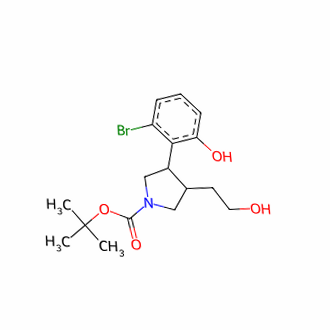 CC(C)(C)OC(=O)N1CC(CCO)C(c2c(O)cccc2Br)C1